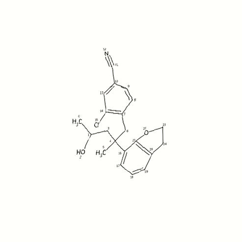 CC(O)CC(C)(Cc1ccc(C#N)cc1Cl)c1cccc2c1OCC2